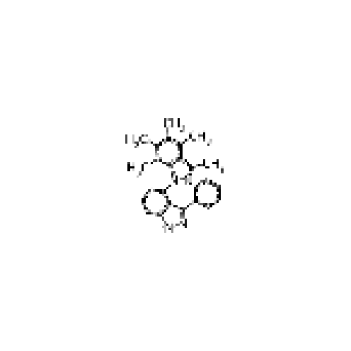 Cc1c(C)c(C)c2c(c(C)nn2-c2cccc3c2C(c2ccccc2)=N[N]3)c1C